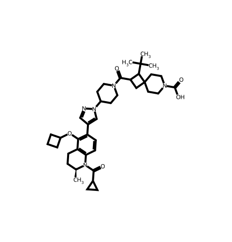 C[C@H]1CCc2c(ccc(-c3cnn(C4CCN(C(=O)C5CC6(CCN(C(=O)O)CC6)C5C(C)(C)C)CC4)c3)c2OC2CCC2)N1C(=O)C1CC1